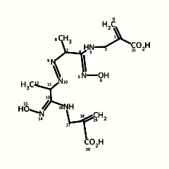 C=C(CNC(=NO)C(C)N=NC(C)C(=NO)NCC(=C)C(=O)O)C(=O)O